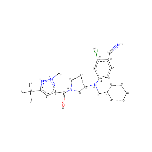 Cn1nc(C(C)(C)C)cc1C(=O)N1CCC(N(CC2CCCCC2)c2ccc(C#N)c(Cl)c2)C1